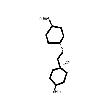 CCCCCCC[C@H]1CC[C@H](CC[C@]2(C#N)CC[C@H](CCCCCC)CC2)CC1